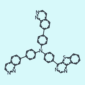 c1ccc2c(c1)sc1c(-c3ccc(N(c4ccc(-c5ccc6ccnnc6c5)cc4)c4ccc(-c5ccc6ccnnc6c5)cc4)cc3)ncnc12